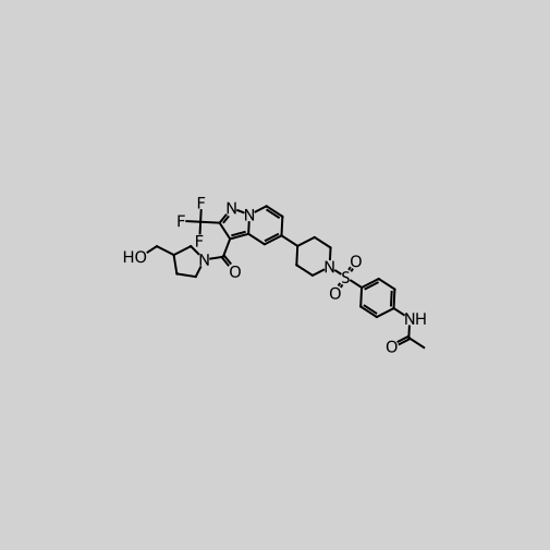 CC(=O)Nc1ccc(S(=O)(=O)N2CCC(c3ccn4nc(C(F)(F)F)c(C(=O)N5CCC(CO)C5)c4c3)CC2)cc1